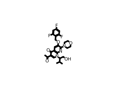 CC(=O)c1cn(C(CO)C(C)C)c2nc(N3CCOCC3)c(OCc3c(F)cc(F)cc3F)cc2c1=O